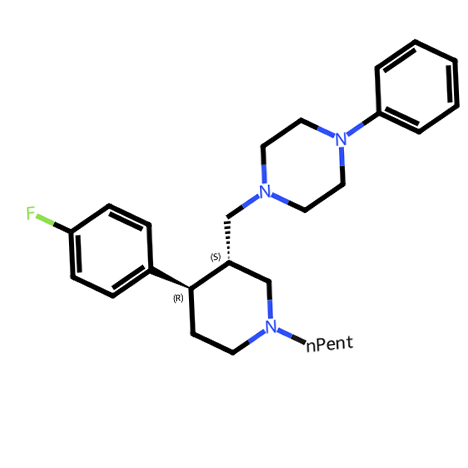 CCCCCN1CC[C@@H](c2ccc(F)cc2)[C@H](CN2CCN(c3ccccc3)CC2)C1